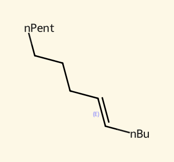 [CH2]CCC/C=C/CCCCCCCC